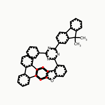 CC1(C)c2ccccc2-c2ccc(-c3nc(-c4ccccc4)nc(-c4cccc5oc6ccc(-c7ccccc7-c7ccccc7-c7ccccc7)cc6c45)n3)cc21